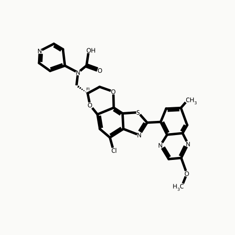 COc1cnc2c(-c3nc4c(Cl)cc5c(c4s3)OC[C@@H](CN(C(=O)O)c3ccncc3)O5)cc(C)cc2n1